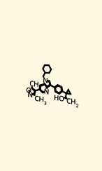 C=C(O)C1(c2ccc(-c3cn(CC4CCCCC4)c4cc(-c5c(C)noc5C)cnc34)cc2)CC1